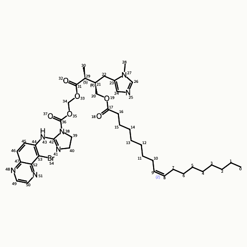 CCCCCCCC/C=C\CCCCCCCC(=O)OC[C@H](Cc1cncn1C)[C@H](C)C(=O)OCOC(=O)N1CCN=C1Nc1ccc2nccnc2c1Br